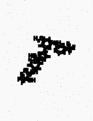 Cc1cc(Nc2nccc(C(F)(F)F)n2)cc(-c2cnc([C@]3(O)CC[C@H](NC(=O)C(O)C(F)(F)F)CC3)s2)c1